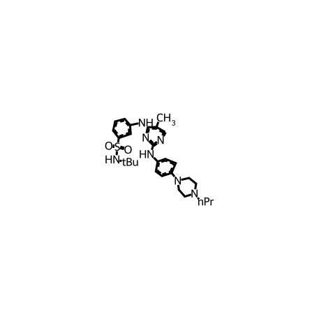 CCCN1CCN(c2ccc(Nc3ncc(C)c(Nc4cccc(S(=O)(=O)NC(C)(C)C)c4)n3)cc2)CC1